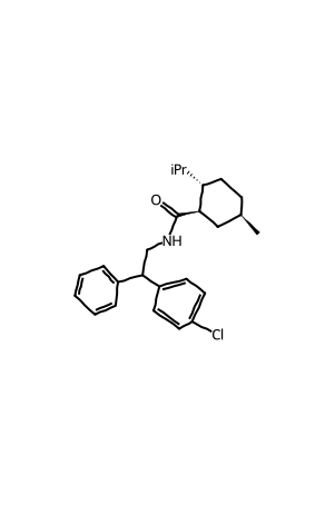 CC(C)[C@@H]1CC[C@@H](C)C[C@H]1C(=O)NCC(c1ccccc1)c1ccc(Cl)cc1